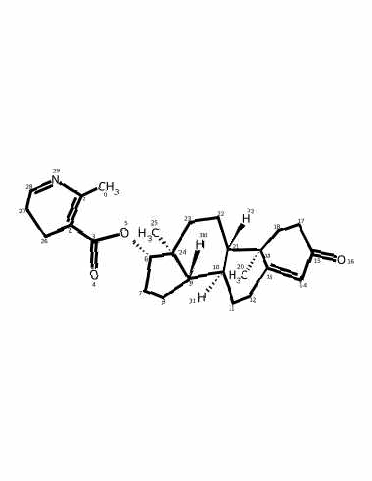 CC1=C(C(=O)O[C@H]2CC[C@H]3[C@@H]4CCC5=CC(=O)CC[C@]5(C)[C@H]4CC[C@]23C)CCC=N1